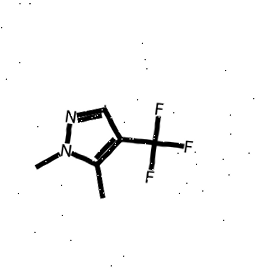 Cc1c(C(F)(F)F)[c]nn1C